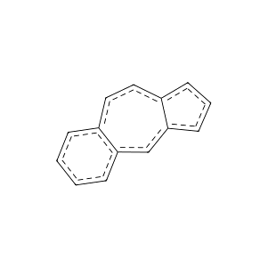 c1cc2ccc3ccccc3cc-2c1